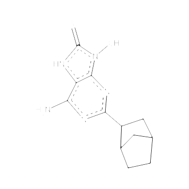 Cn1c(=S)[nH]c2c(N)nc(C3CC4CCC3C4)nc21